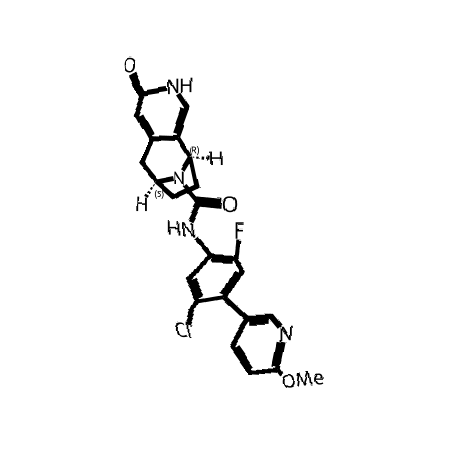 COc1ccc(-c2cc(F)c(NC(=O)N3[C@H]4CC[C@@H]3c3c[nH]c(=O)cc3C4)cc2Cl)cn1